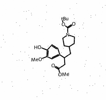 COC(=O)CC(CC1CCN(C(=O)OC(C)(C)C)CC1)c1ccc(O)c(OC)c1